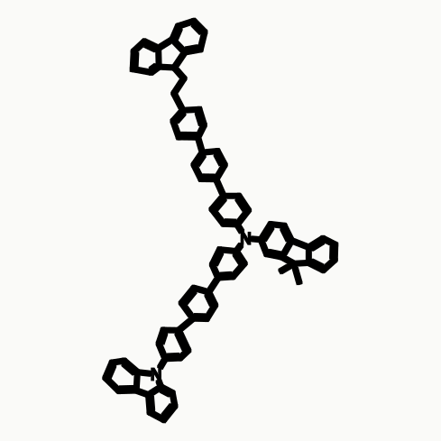 CC1(C)c2ccccc2-c2ccc(N(c3ccc(-c4ccc(-c5ccc(CCC6c7ccccc7-c7ccccc76)cc5)cc4)cc3)c3ccc(-c4ccc(-c5ccc(-n6c7ccccc7c7ccccc76)cc5)cc4)cc3)cc21